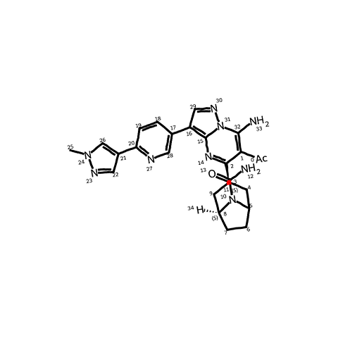 CC(=O)c1c([C@H]2CC3CC[C@@H](C2)N3C(N)=O)nc2c(-c3ccc(-c4cnn(C)c4)nc3)cnn2c1N